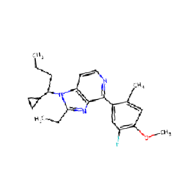 CCCC(C1CC1)n1c(CC)nc2c(-c3cc(F)c(OC)cc3C)nccc21